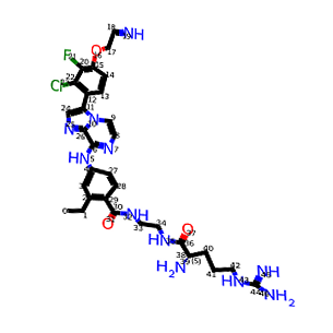 CCc1cc(Nc2nccn3c(-c4ccc(OCC=N)c(F)c4Cl)cnc23)ccc1C(=O)NCCNC(=O)[C@@H](N)CCCNC(=N)N